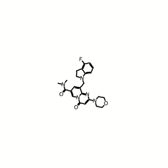 CN(C)C(=O)c1cc(CN2CCc3c(F)cccc32)c2nc(N3CCOCC3)cc(=O)n2c1